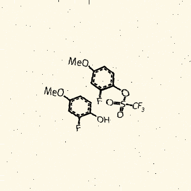 COc1ccc(O)c(F)c1.COc1ccc(OS(=O)(=O)C(F)(F)F)c(F)c1